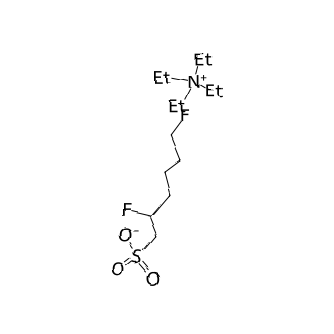 CC[N+](CC)(CC)CC.O=S(=O)([O-])CC(F)CCCCF